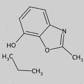 CCC.Cc1nc2cccc(O)c2o1